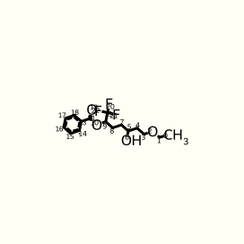 CCOCCC(O)CCC(OC(=O)c1[c]cccc1)C(F)(F)F